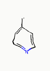 [CH]c1ccncc1